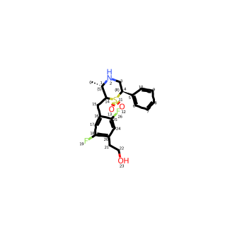 C[C@@H]1NC[C@@H](c2ccccc2)S(=O)(=O)C1Cc1cc(F)c(CCO)cc1F